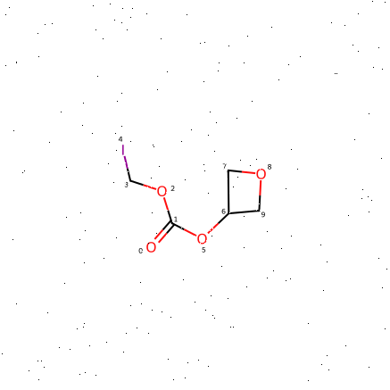 O=C(OCI)OC1COC1